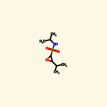 CC(C)NS(=O)(=O)C1OC1C(C)C